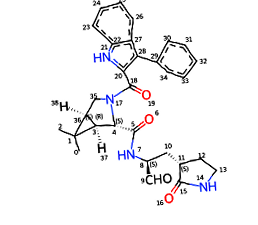 CC1(C)[C@@H]2[C@@H](C(=O)N[C@H](C=O)C[C@@H]3CCNC3=O)N(C(=O)c3[nH]c4ccccc4c3-c3ccccc3)C[C@@H]21